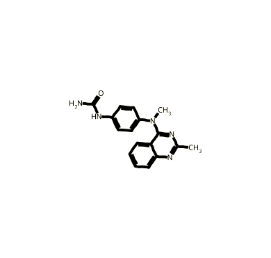 Cc1nc(N(C)c2ccc(NC(N)=O)cc2)c2ccccc2n1